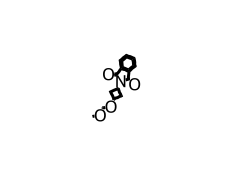 COCOC1CC(N2C(=O)c3ccccc3C2=O)C1